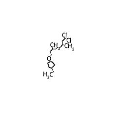 CCc1ccc(OCC=C(C)CCC=C(C)C=C(Cl)Cl)cc1